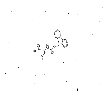 CSC[C@H](NC(=O)OCC1c2ccccc2-c2ccccc21)C(=O)O